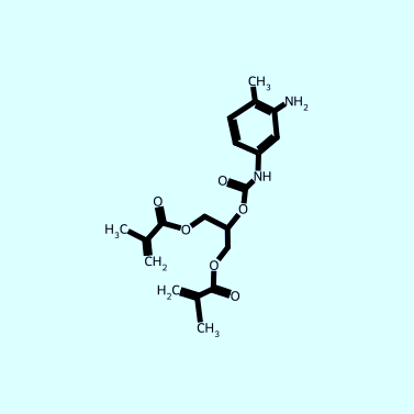 C=C(C)C(=O)OCC(COC(=O)C(=C)C)OC(=O)Nc1ccc(C)c(N)c1